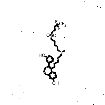 CN(CCCCCC1=C(c2cccc(O)c2)CCCc2cc(O)ccc21)CCCCCS(=O)(=O)CCCC(F)(F)C(F)(F)F